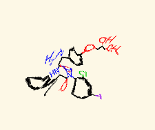 C[C@@H](c1ccccc1)[C@H](NC(=O)[C@H](N)c1ccc(OC[C@H](O)CO)cc1)C(=O)Nc1ccc(I)cc1Cl